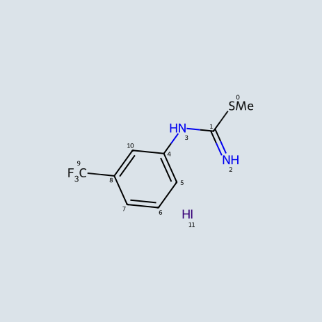 CSC(=N)Nc1cccc(C(F)(F)F)c1.I